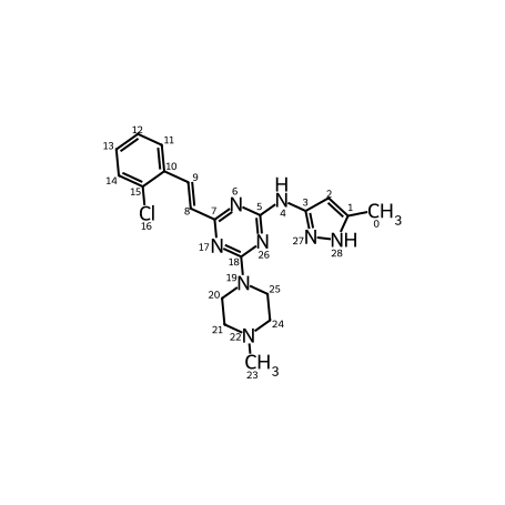 Cc1cc(Nc2nc(/C=C/c3ccccc3Cl)nc(N3CCN(C)CC3)n2)n[nH]1